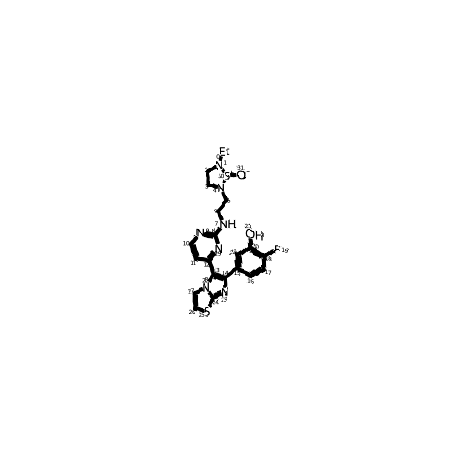 CCN1CCN(CCNc2nccc(-c3c(-c4ccc(F)c(O)c4)nc4sccn34)n2)[S+]1[O-]